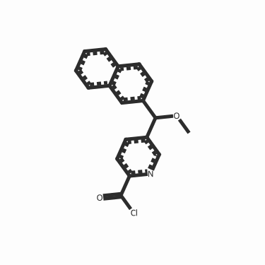 COC(c1ccc(C(=O)Cl)nc1)c1ccc2ccccc2c1